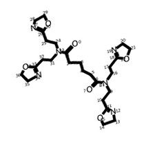 O=C(CCCCC(=O)N(CCC1=NCCO1)CCC1=NCCO1)N(CCC1=NCCO1)CCC1=NCCO1